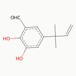 C=CC(C)(C)c1cc(O)c(O)c(C=O)c1